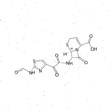 O=CNc1nc(C(=O)C(=O)NC2C(=O)N3C(C(=O)O)=CCS[C@H]23)cs1